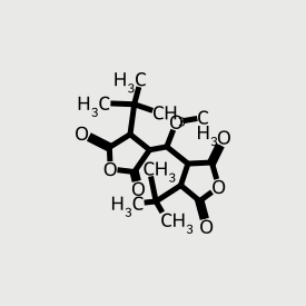 COC(C1C(=O)OC(=O)C1C(C)(C)C)C1C(=O)OC(=O)C1C(C)(C)C